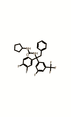 O=C(NC1CCCC1)NC(Cc1ccccc1)(c1cc(F)cc(C(F)(F)F)c1)c1ccc(F)c(F)c1